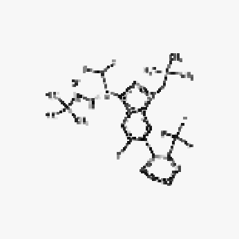 CC(C)(C)Cn1cc([C@H](N[S@@+]([O-])C(C)(C)C)C(F)F)c2cc(F)c(-c3cccnc3C(F)(F)F)cc21